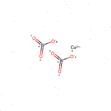 [Cu+2].[O]=[Bi](=[O])[O-].[O]=[Bi](=[O])[O-]